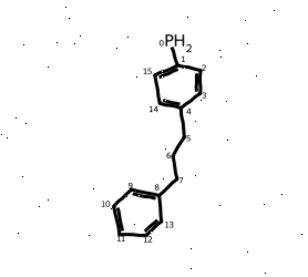 Pc1ccc(CCCc2ccccc2)cc1